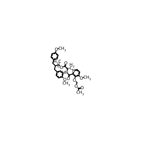 COc1ccc(CC(Cc2ccc(OC)cc2)[C@H](C)OC(=O)[C@H](C)NC(=O)c2nccc(OC)c2OCOC(C)=O)cc1